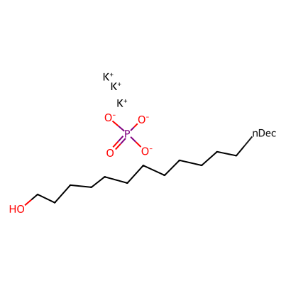 CCCCCCCCCCCCCCCCCCCCCCO.O=P([O-])([O-])[O-].[K+].[K+].[K+]